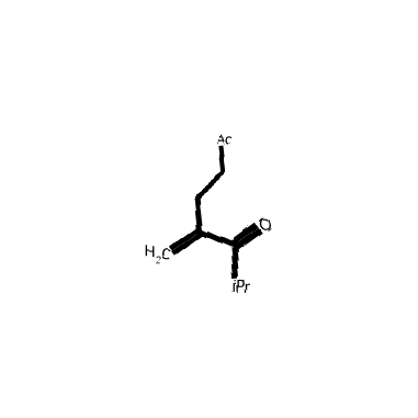 C=C(CCC(C)=O)C(=O)C(C)C